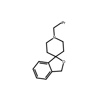 CC(C)CN1CCC2(CC1)OCc1ccccc12